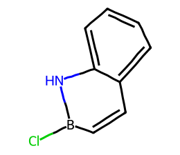 ClB1C=Cc2ccccc2N1